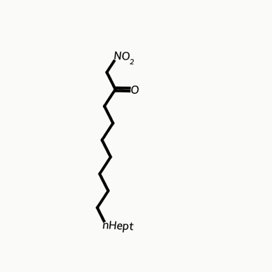 CCCCCCCCCCCCCCC(=O)C[N+](=O)[O-]